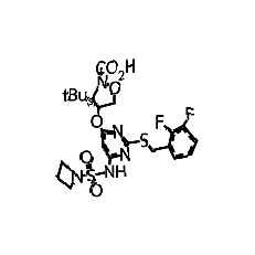 CC(C)(C)[C@H]1C(Oc2cc(NS(=O)(=O)N3CCC3)nc(SCc3cccc(F)c3F)n2)CON1C(=O)O